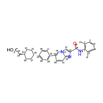 Cc1cccc(C)c1NC(=O)c1cn2cc(-c3ccc([C@H]4CC[C@H](CC(=O)O)CC4)cc3)ccc2n1